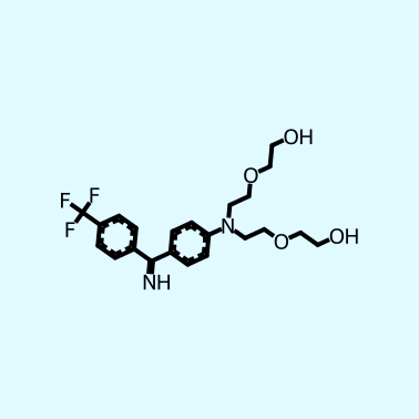 N=C(c1ccc(N(CCOCCO)CCOCCO)cc1)c1ccc(C(F)(F)F)cc1